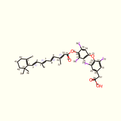 CC1=C(/C=C/C(C)=C/C=C/C(C)=C/C(=O)Oc2c(I)cc(Oc3c(I)cc(CC(=O)O)cc3I)cc2I)C(C)(C)CCC1